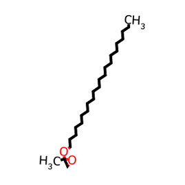 CCCCCCCCCCCCCCCCCCCCCCOC1(C)CO1